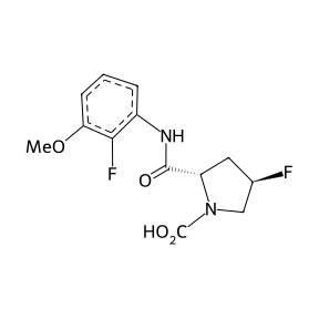 COc1cccc(NC(=O)[C@@H]2C[C@@H](F)CN2C(=O)O)c1F